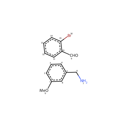 COc1cccc(CN)c1.O=Cc1ccccc1Br